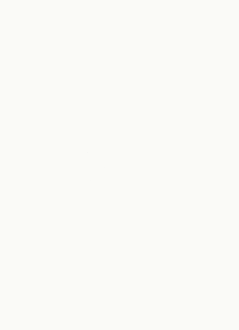 C(#Cc1ccccc1)B1Oc2ccccc2O1